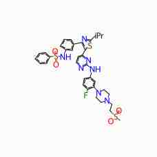 CC(C)c1nc(-c2cccc(NS(=O)(=O)c3ccccc3)c2)c(-c2ccnc(Nc3ccc(F)c(N4CCN(CCS(C)(=O)=O)CC4)c3)n2)s1